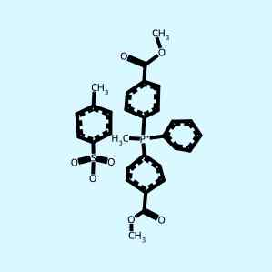 COC(=O)c1ccc([P+](C)(c2ccccc2)c2ccc(C(=O)OC)cc2)cc1.Cc1ccc(S(=O)(=O)[O-])cc1